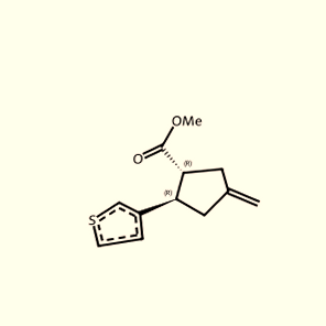 C=C1C[C@@H](C(=O)OC)[C@H](c2ccsc2)C1